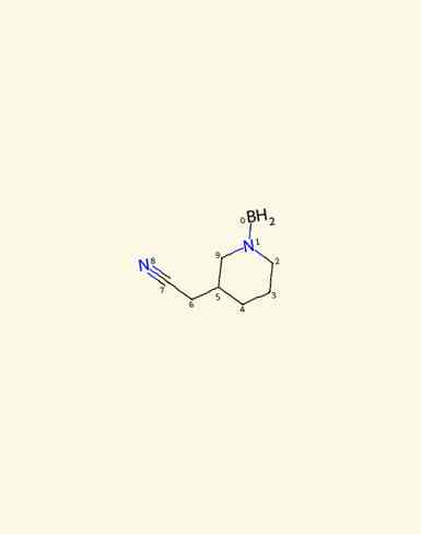 BN1CCCC(CC#N)C1